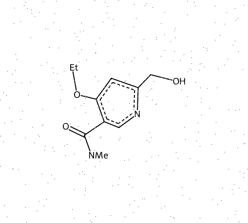 CCOc1cc(CO)ncc1C(=O)NC